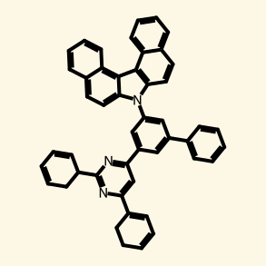 C1=CCCC(c2cc(-c3cc(-c4ccccc4)cc(-n4c5ccc6ccccc6c5c5c6ccccc6ccc54)c3)nc(C3C=CC=CC3)n2)=C1